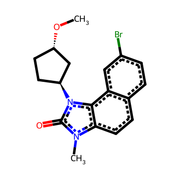 CO[C@H]1CC[C@H](n2c(=O)n(C)c3ccc4ccc(Br)cc4c32)C1